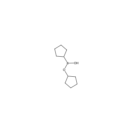 OB(OC1CCCC1)C1CCCC1